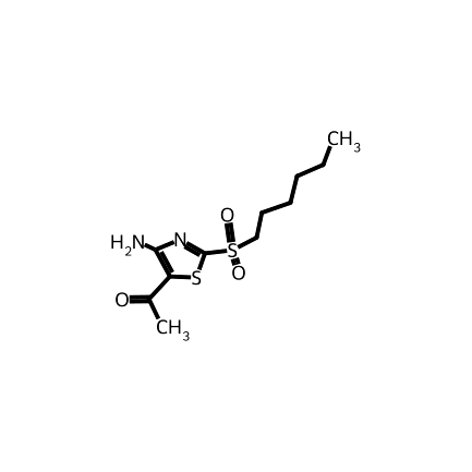 CCCCCCS(=O)(=O)c1nc(N)c(C(C)=O)s1